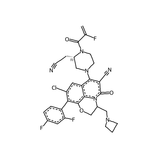 C=C(F)C(=O)N1CCN(c2c(C#N)c(=O)n3c4c(c(-c5ccc(F)cc5F)c(Cl)cc24)OCC3CN2CCC2)C[C@@H]1CC#N